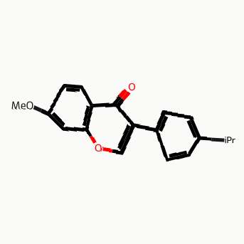 COc1ccc2c(=O)c(-c3ccc(C(C)C)cc3)coc2c1